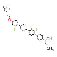 C=CCCCOc1ccc(C2CCC(c3ccc(-c4ccc(C(O)CCC)cc4)c(F)c3F)CC2)c(F)c1